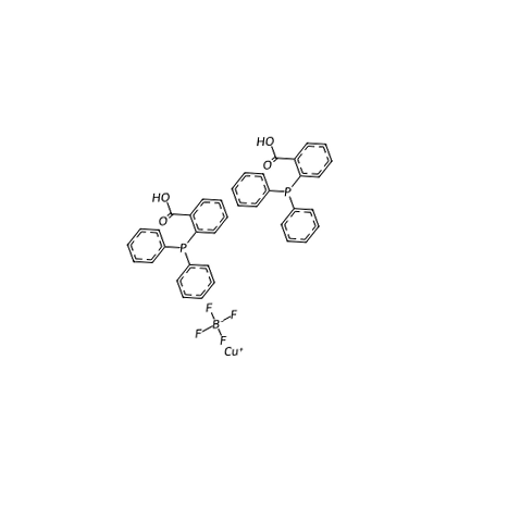 F[B-](F)(F)F.O=C(O)c1ccccc1P(c1ccccc1)c1ccccc1.O=C(O)c1ccccc1P(c1ccccc1)c1ccccc1.[Cu+]